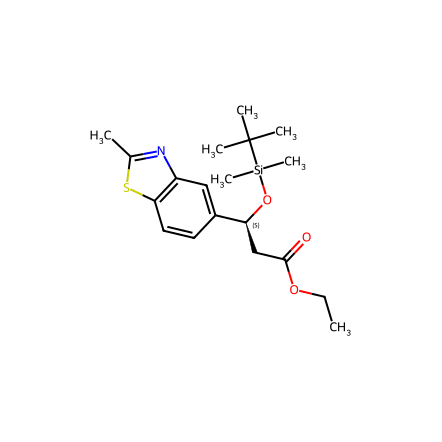 CCOC(=O)C[C@H](O[Si](C)(C)C(C)(C)C)c1ccc2sc(C)nc2c1